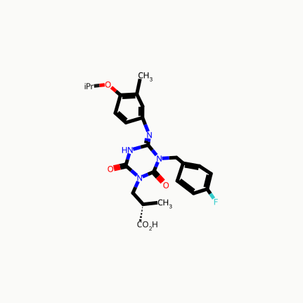 Cc1cc(/N=c2\[nH]c(=O)n(C[C@H](C)C(=O)O)c(=O)n2Cc2ccc(F)cc2)ccc1OC(C)C